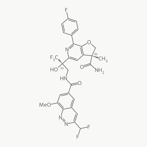 COc1cc(C(=O)NC[C@](O)(c2cc3c(c(-c4ccc(F)cc4)n2)OC[C@]3(C)C(N)=O)C(F)(F)F)cc2cc(C(F)F)nnc12